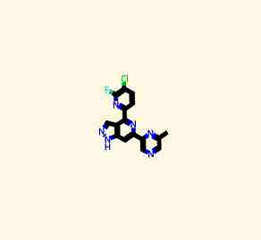 Cc1cncc(-c2cc3[nH]ncc3c(-c3ccc(Cl)c(F)n3)n2)n1